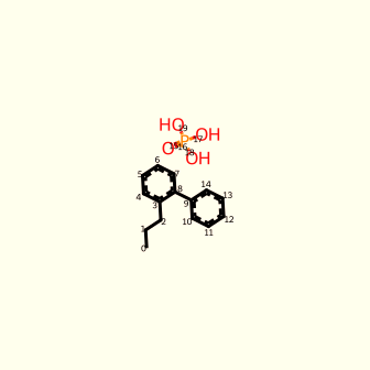 CCCc1ccccc1-c1ccccc1.O=P(O)(O)O